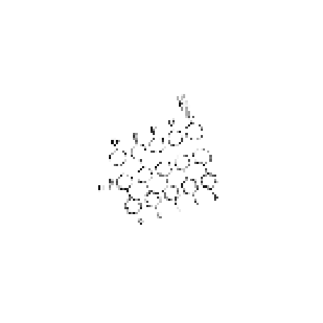 CC[C@H]1CC[C@H](C2CC=C(c3ccc([S])cc3)CC2)CC1.CC[C@H]1CC[C@H](C2CC=C(c3ccc([S])cc3)CC2)CC1.CC[C@H]1CC[C@H](C2CC=C(c3ccc([S])cc3)CC2)CC1.CC[C@H]1CC[C@H](C2CC=C(c3ccc([S])cc3)CC2)CC1.CC[C@H]1CC[C@H](C2CC=C(c3ccc([S])cc3)CC2)CC1.F.F.F.F.F